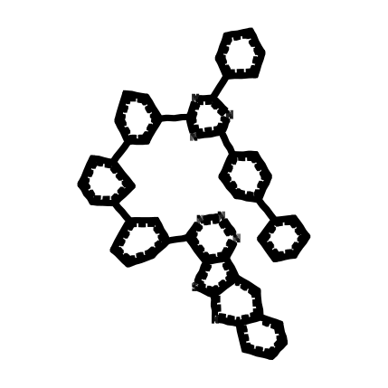 c1ccc(-c2ccc(-c3nc(-c4ccccc4)nc(-c4cccc(-c5cccc(-c6cccc(-c7nnnc8c7sc7nc9ccccc9cc78)c6)c5)c4)n3)cc2)cc1